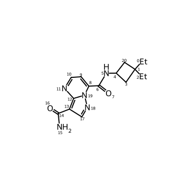 CCC1(CC)CC(NC(=O)c2ccnc3c(C(N)=O)cnn23)C1